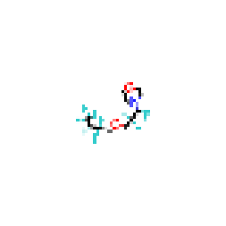 FC(N1CCOCC1)C(F)(F)COCC(F)(F)C(F)C(F)(F)F